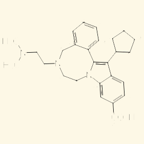 CN(C)CCN1CCn2c(c(C3CCCC3)c3ccc(C(=O)O)cc32)-c2ccccc2C1